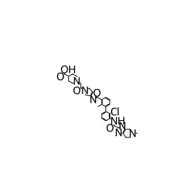 Cc1c(-c2nc3c(o2)CN(C(=O)CN2CCC(C(=O)O)CC2)C3)cccc1-c1cccc(NC(=O)c2nc3c(n2C)CCN(C)C3)c1Cl